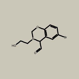 O=CC1c2cc(Br)ccc2OCN1CCO